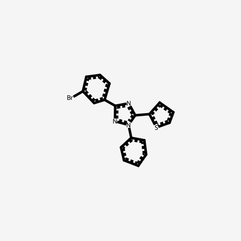 Brc1cccc(-c2nc(-c3cccs3)n(-c3ccccc3)n2)c1